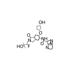 CC(C)(O)C(F)CN1Cc2cc(NC(=O)c3cnn4cccnc34)c(O[C@@H]3CC[C@H](O)C3)cc2C1=O